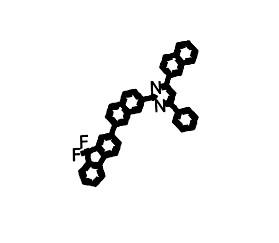 FC1(F)c2ccccc2-c2ccc(-c3ccc4ccc(-c5nc(-c6ccccc6)cc(-c6ccc7ccccc7c6)n5)cc4c3)cc21